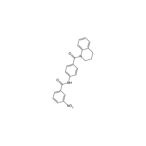 O=C(Nc1ccc(C(=O)N2CCCc3ccccc32)cc1)c1cccc([N+](=O)[O-])c1